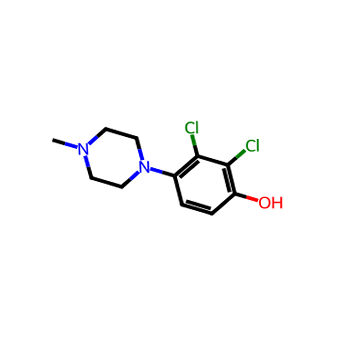 CN1CCN(c2ccc(O)c(Cl)c2Cl)CC1